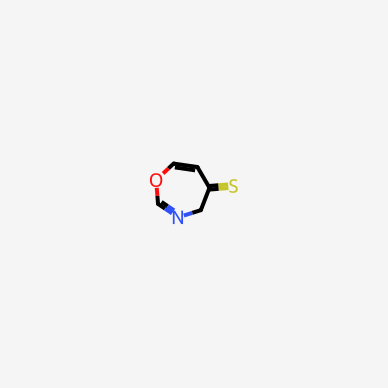 S=C1C=COC=NC1